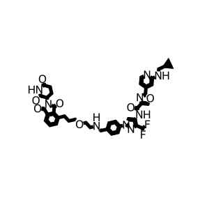 O=C1CCC(N2C(=O)c3cccc(CCCOCCNCc4ccc(-n5cc(NC(=O)c6coc(-c7ccnc(NCC8CC8)c7)n6)c(C(F)F)n5)cc4)c3C2=O)C(=O)N1